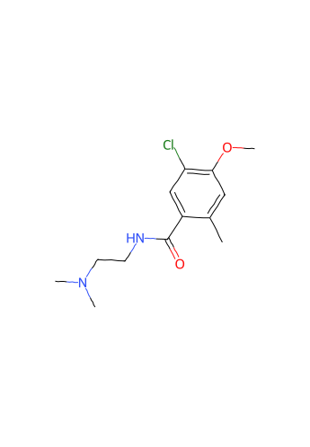 COc1cc(C)c(C(=O)NCCN(C)C)cc1Cl